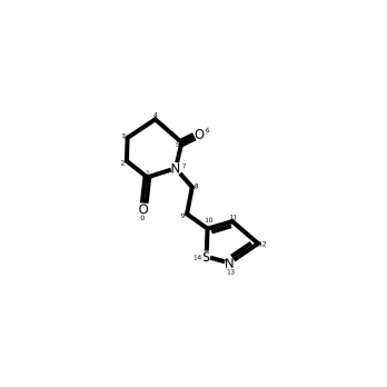 O=C1CCCC(=O)N1CCc1ccns1